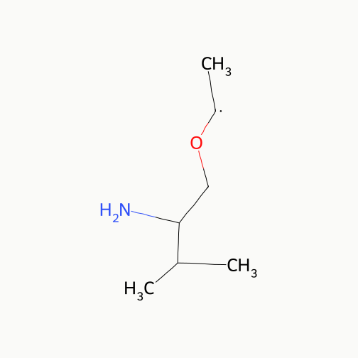 C[CH]OCC(N)C(C)C